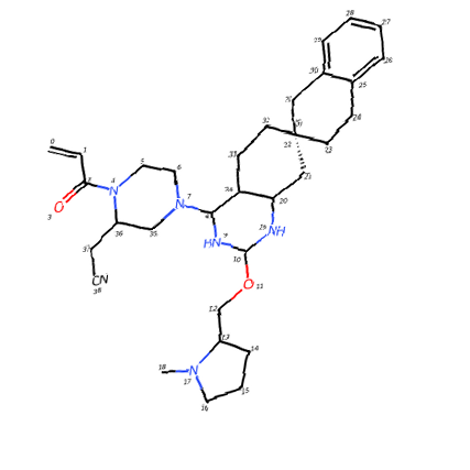 C=CC(=O)N1CCN(C2NC(OCC3CCCN3C)NC3C[C@]4(CCc5ccccc5C4)CCC32)CC1CC#N